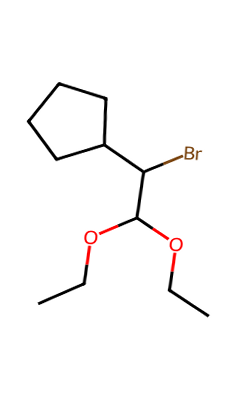 CCOC(OCC)C(Br)C1CCCC1